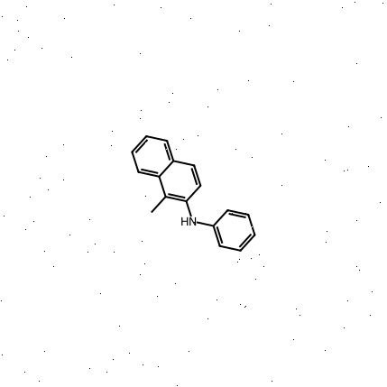 Cc1c(Nc2ccccc2)ccc2ccccc12